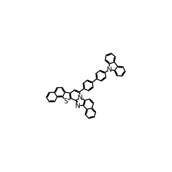 c1ccc2c(c1)ccc1c2nc2c3sc4c5ccccc5ccc4c3cc(-c3ccc(-c4ccc(-n5c6ccccc6c6ccccc65)cc4)cc3)n12